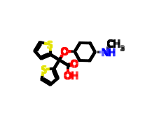 CN[C@H]1CC[C@H](OC(C(=O)O)(c2cccs2)c2cccs2)CC1